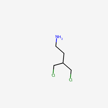 NCCC(CCl)CCl